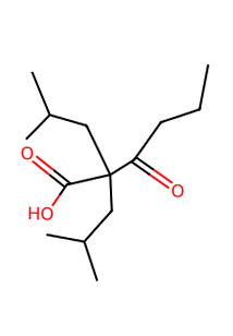 CCCC(=O)C(CC(C)C)(CC(C)C)C(=O)O